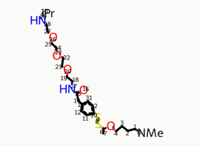 CNCCCCOC(C)SSc1ccc(CC(=O)NCCOCCOCCOCCNC(C)C)cc1